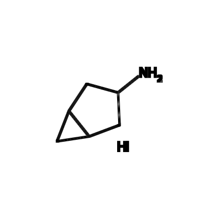 I.NC1CC2CC2C1